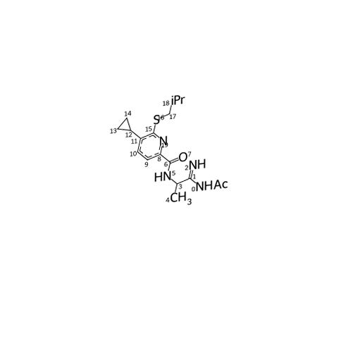 CC(=O)NC(=N)C(C)NC(=O)c1ccc(C2CC2)c(SCC(C)C)n1